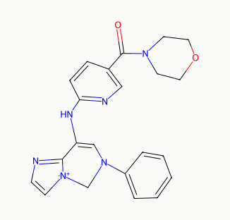 O=C(c1ccc(NC2=CN(c3ccccc3)C[N+]3C=CN=C23)nc1)N1CCOCC1